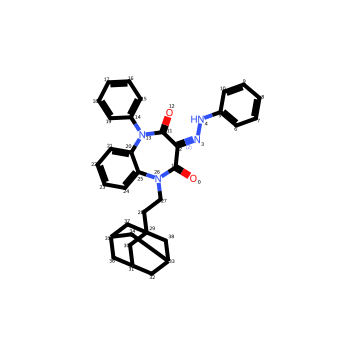 O=c1/c(=N/Nc2ccccc2)c(=O)n(-c2ccccc2)c2ccccc2n1CCC12CC3CC(CC(C3)C1)C2